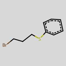 BrCCCSc1ccccc1